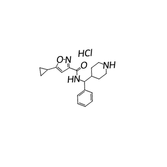 Cl.O=C(NC(c1ccccc1)C1CCNCC1)c1cc(C2CC2)on1